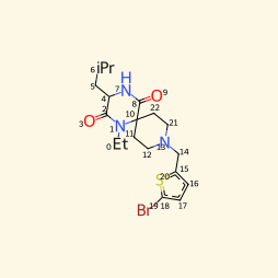 CCN1C(=O)C(CC(C)C)NC(=O)C12CCN(Cc1ccc(Br)s1)CC2